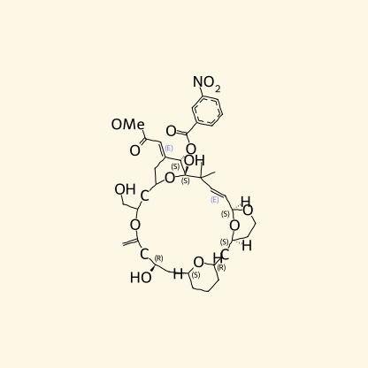 C=C1C[C@H](O)C[C@@H]2CCC[C@H](C[C@@H]3CCO[C@H](/C=C/C(C)(C)[C@]4(O)OC(C/C(=C\C(=O)OC)[C@@H]4OC(=O)c4cccc([N+](=O)[O-])c4)CC(CO)O1)O3)O2